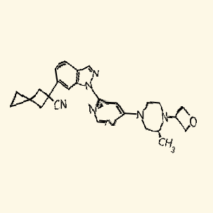 C[C@H]1CN(c2cc(-n3ncc4ccc(C5(C#N)CC6(CC6)C5)cc43)ncn2)CCN1C1COC1